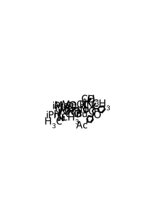 CC[C@H](C)C([C@@H](CC(=O)N1CCCC1C(OC)[C@@H](C)C(=O)NC(C)C(OC(=O)c1ccc(C(C)=O)cc1)c1ccccc1)OC)N(C)C(=O)[C@@H](NC(=O)C(C(C)C)N(C)C)C(C)C